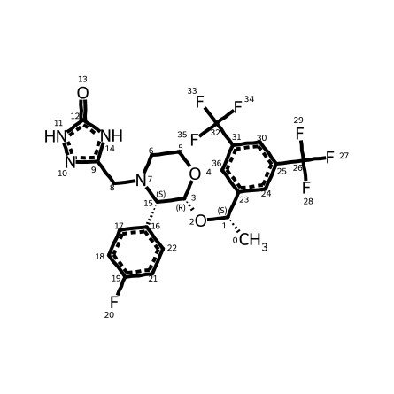 C[C@H](O[C@H]1OCCN(Cc2n[nH]c(=O)[nH]2)[C@H]1c1ccc(F)cc1)c1cc(C(F)(F)F)cc(C(F)(F)F)c1